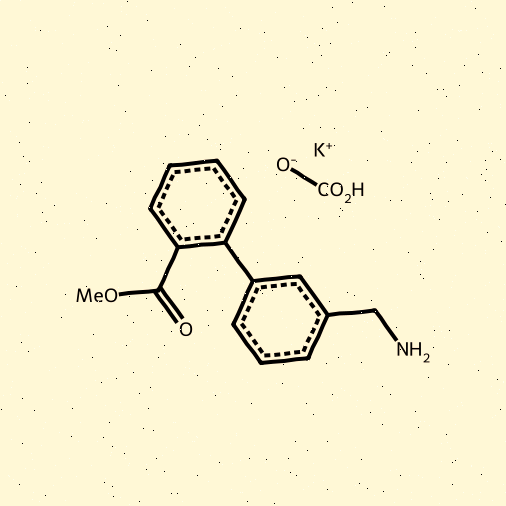 COC(=O)c1ccccc1-c1cccc(CN)c1.O=C([O-])O.[K+]